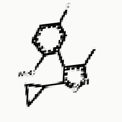 COc1ccc(F)cc1-c1c(C)noc1C1CC1